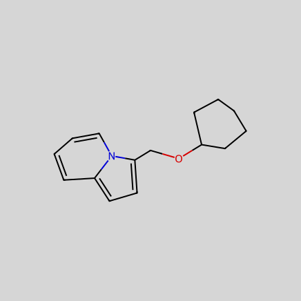 c1ccn2c(COC3CCCCC3)ccc2c1